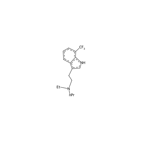 CCCN(CC)CCc1c[nH]c2c(C(F)(F)F)cccc12